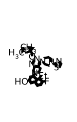 CCc1c(F)ccc2cc(O)cc(N3CCc4c(nc(OCC5(CN(C)C)CC5)nc4N4CCCN(c5nccs5)CC4)C3)c12